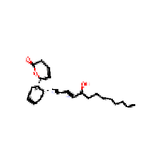 CCCCCCCCC(O)/C=C/C=C/[C@@H]1CC=CC[C@@H]1C1CCCC(=O)O1